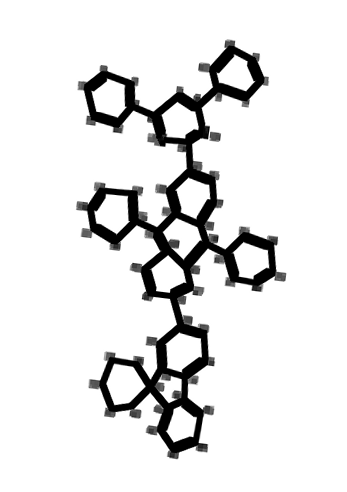 c1ccc(-c2cc(-c3ccccc3)nc(-c3ccc4c(-c5ccccc5)c5cc(-c6ccc7c(c6)C6(CCCCC6)c6ccccc6-7)ccc5c(-c5ccccc5)c4c3)n2)cc1